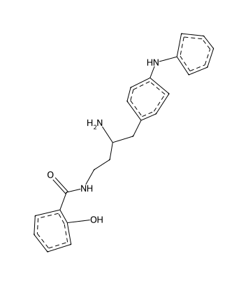 NC(CCNC(=O)c1ccccc1O)Cc1ccc(Nc2ccccc2)cc1